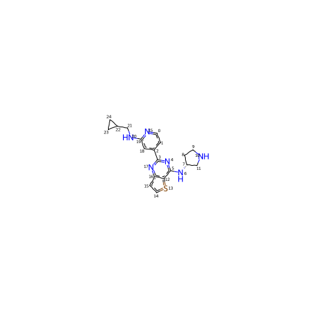 c1cc(-c2nc(N[C@@H]3CCNC3)c3sccc3n2)cc(NCC2CC2)n1